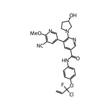 C=CC(F)(Cl)Oc1ccc(NC(=O)c2cnc(N3CC[C@@H](O)C3)c(-c3cnc(OC)c(C#N)c3)c2)cc1